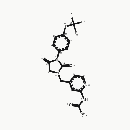 NC(=O)Nc1cc(CN2CC(=O)N(c3ccc(SC(F)(F)F)cc3)C2=O)ccn1